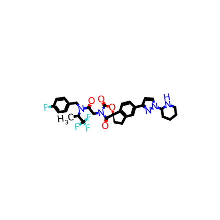 CC(N(Cc1ccc(F)cc1)C(=O)CN1C(=O)O[C@@]2(CCc3cc(-c4ccn(C5CCCCN5)n4)ccc32)C1=O)C(F)(F)F